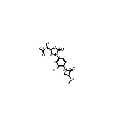 COC1CN(c2ccc(N3CC(N(C)C(C)=O)OC3=O)cc2F)C1=O